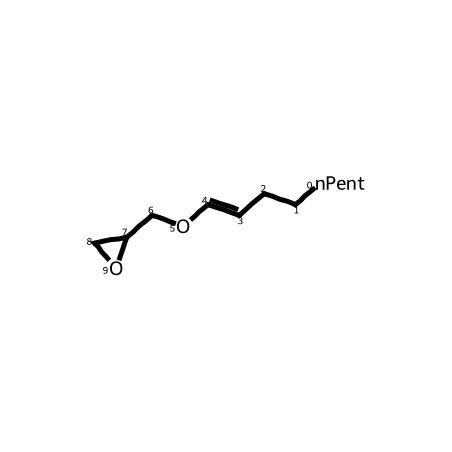 CCCCCCC/C=C/OCC1CO1